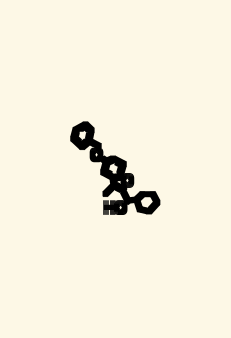 Cc1c(C(O)C2CCCCC2)oc2ccc(OCc3ccccc3)cc12